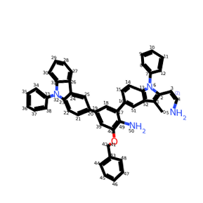 Cc1c(/C=C\N)n(-c2ccccc2)c2ccc(-c3cc(-c4ccc5c(c4)c4ccccc4n5-c4ccccc4)cc(OCc4ccccc4)c3N)cc12